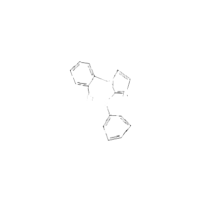 Brc1ccccc1-n1ccnc1Sc1ccccc1